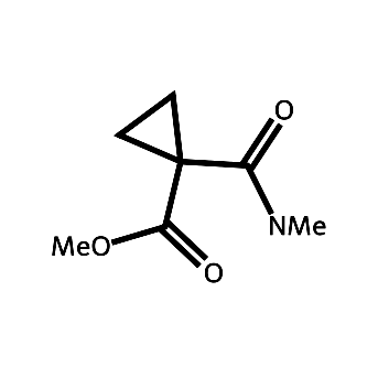 CNC(=O)C1(C(=O)OC)CC1